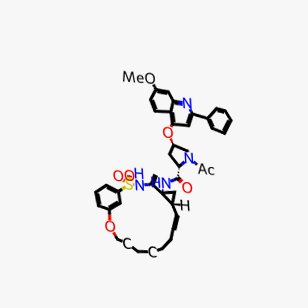 C=C1NS(=O)(=O)c2cccc(c2)OCCCCCC/C=C/[C@H]2C[C@]12NC(=O)[C@@H]1C[C@@H](Oc2cc(-c3ccccc3)nc3cc(OC)ccc23)CN1C(C)=O